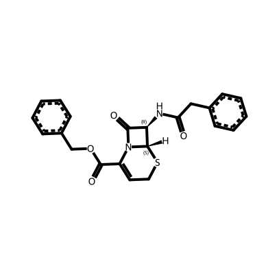 O=C(Cc1ccccc1)N[C@@H]1C(=O)N2C(C(=O)OCc3ccccc3)=CCS[C@@H]12